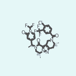 C[C@@H]1Cc2nn3c(c2CN1C(=O)c1ccc(Cl)c(C(F)(F)F)c1)C(=O)N([C@@H](C)c1ccn(C(F)F)c(=O)c1)C[C@H]3C